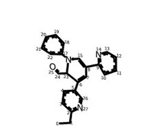 CCc1ccc(C2=CC(c3ccccn3)=CN(c3ccccc3)C2C=O)cn1